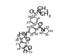 CN(C)C(=O)c1ccc(-c2cc(NC(=O)C3(c4ccc5c(c4)OCO5)CC3)ccc2C(=O)N2CCCC2)cc1